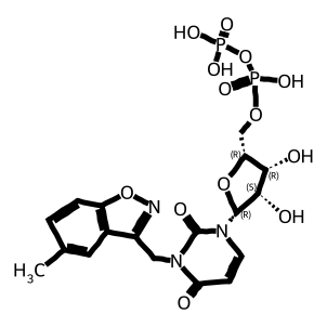 Cc1ccc2onc(Cn3c(=O)ccn([C@@H]4O[C@H](COP(=O)(O)OP(=O)(O)O)[C@H](O)[C@@H]4O)c3=O)c2c1